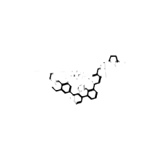 COc1cc(-c2nccc(-c3cccc(-c4ccc(CNC[C@H]5CCC(=O)N5)c(OC)n4)c3Cl)c2Cl)cc2c1CN(C[C@@H](C)O)CC2